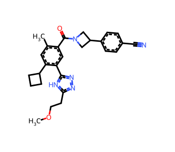 COCCc1nnc(-c2cc(C(=O)N3CC(c4ccc(C#N)cc4)C3)c(C)cc2C2CCC2)[nH]1